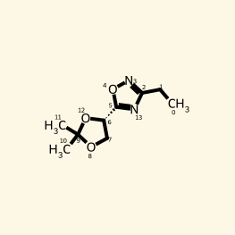 CCc1noc([C@@H]2COC(C)(C)O2)n1